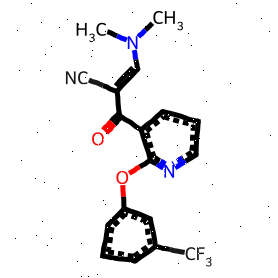 CN(C)C=C(C#N)C(=O)c1cccnc1Oc1cccc(C(F)(F)F)c1